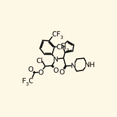 Cc1c(N(C(=O)C(Cl)OC(=O)C(F)(F)F)C(C(=O)N2CCNCC2)c2cccs2)cccc1C(F)(F)F